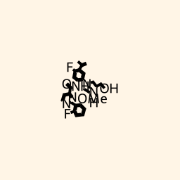 C=C(C)c1cc(N2CCNC(CO)C2)c(NC(=O)c2ccnc(-c3c(F)cccc3OC)n2)cc1F